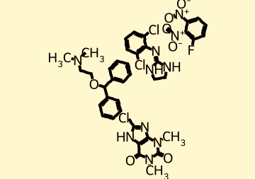 CN(C)CCOC(c1ccccc1)c1ccccc1.Clc1cccc(Cl)c1N=C1NCCN1.Cn1c(=O)c2[nH]c(Cl)nc2n(C)c1=O.O=[N+]([O-])c1cccc(F)c1[N+](=O)[O-]